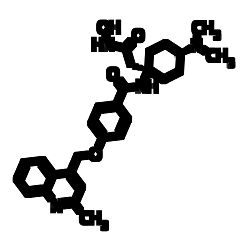 Cc1cc(COc2ccc(C(=O)N[C@]3(CC(=O)NO)CC[C@H](N(C)C)CC3)cc2)c2ccccc2n1